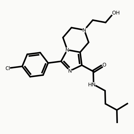 CC(C)CCNC(=O)c1nc(-c2ccc(Cl)cc2)n2c1CN(CCO)CC2